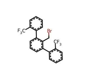 FC(F)(F)c1ccccc1-c1cccc(-c2ccccc2C(F)(F)F)c1CBr